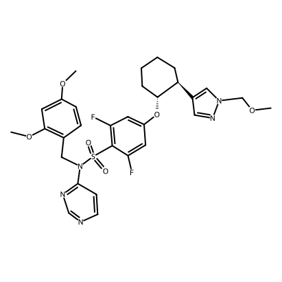 COCn1cc([C@@H]2CCCC[C@H]2Oc2cc(F)c(S(=O)(=O)N(Cc3ccc(OC)cc3OC)c3ccncn3)c(F)c2)cn1